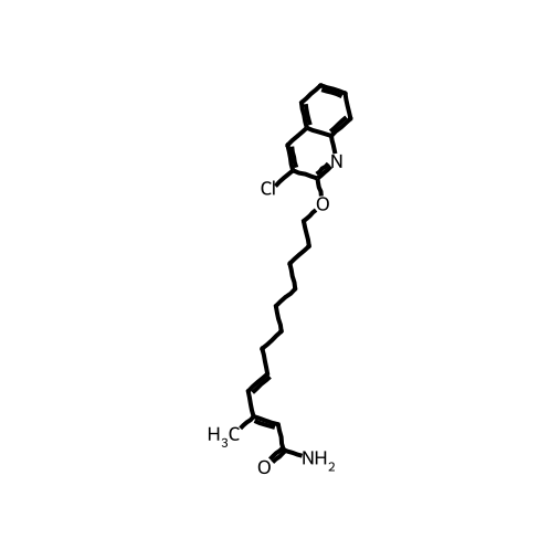 CC(C=CCCCCCCCOc1nc2ccccc2cc1Cl)=CC(N)=O